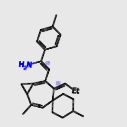 CC/C=C1/C(/C=C(\N)c2ccc(C)cc2)=C2CC2C(C)=CC12CCC(C)CC2